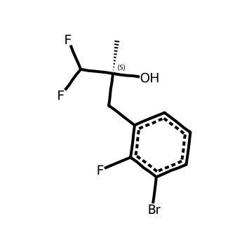 C[C@](O)(Cc1cccc(Br)c1F)C(F)F